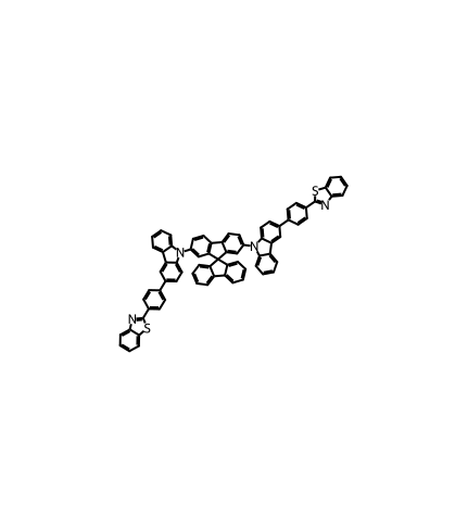 c1ccc2c(c1)-c1ccccc1C21c2cc(-n3c4ccccc4c4cc(-c5ccc(-c6nc7ccccc7s6)cc5)ccc43)ccc2-c2ccc(-n3c4ccccc4c4cc(-c5ccc(-c6nc7ccccc7s6)cc5)ccc43)cc21